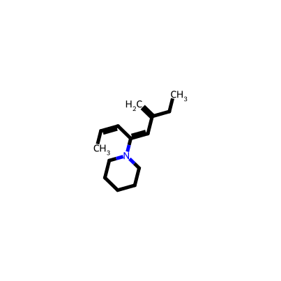 C=C(/C=C(\C=C/C)N1CCCCC1)CC